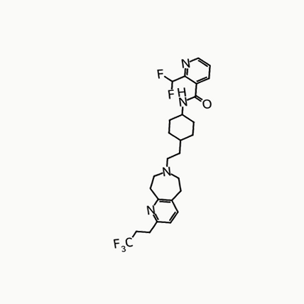 O=C(NC1CCC(CCN2CCc3ccc(CCC(F)(F)F)nc3CC2)CC1)c1cccnc1C(F)F